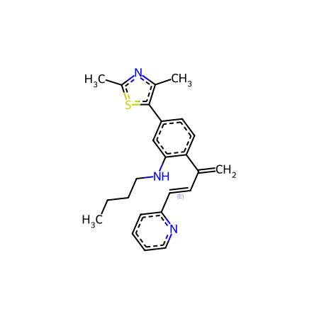 C=C(/C=C/c1ccccn1)c1ccc(-c2sc(C)nc2C)cc1NCCCC